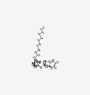 CCCCCCCCCCCCn1nnc(CC(=O)Oc2ccccc2)n1